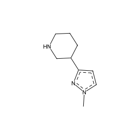 Cn1ccc(C2CCCNC2)n1